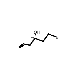 C=CC[C@H](O)CCBr